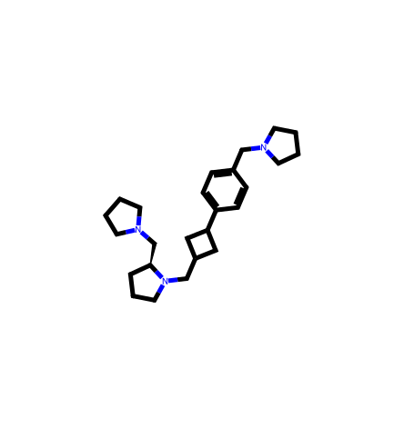 c1cc(C2CC(CN3CCC[C@H]3CN3CCCC3)C2)ccc1CN1CCCC1